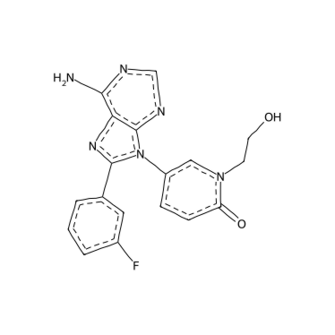 Nc1ncnc2c1nc(-c1cccc(F)c1)n2-c1ccc(=O)n(CCO)c1